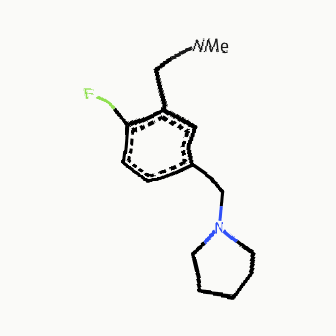 CNCc1cc(CN2CCCC2)ccc1F